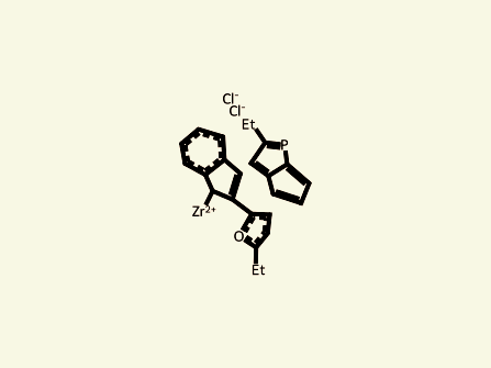 CCC1=PC2=CC=CC2=C1.CCc1ccc(C2=Cc3ccccc3[CH]2[Zr+2])o1.[Cl-].[Cl-]